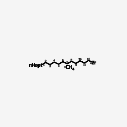 C.CCCCCCCCCCCCCCCCC[CH2][Zr]